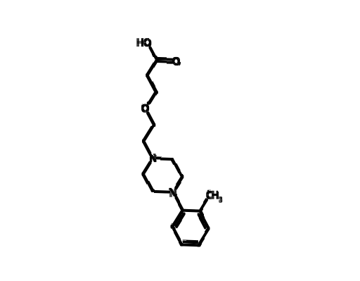 Cc1ccccc1N1CCN(CCOCCC(=O)O)CC1